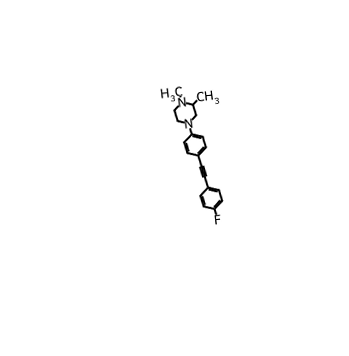 CC1CN(c2ccc(C#Cc3ccc(F)cc3)cc2)CCN1C